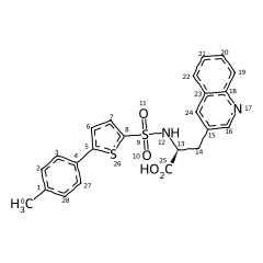 Cc1ccc(-c2ccc(S(=O)(=O)N[C@@H](Cc3cnc4ccccc4c3)C(=O)O)s2)cc1